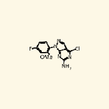 COc1cc(F)ccc1-n1ncc2c(Cl)nc(N)nc21